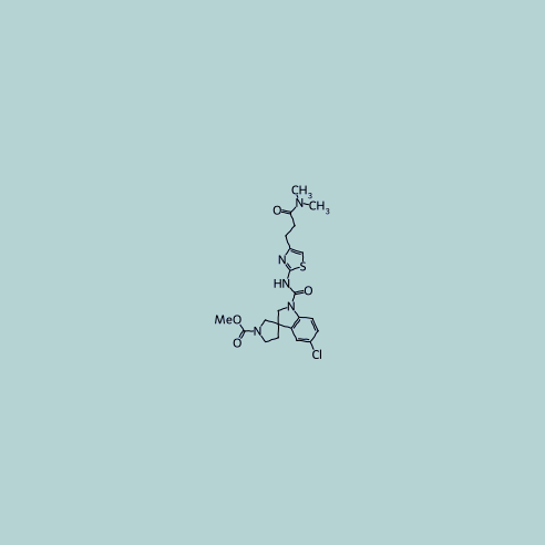 COC(=O)N1CCC2(C1)CN(C(=O)Nc1nc(CCC(=O)N(C)C)cs1)c1ccc(Cl)cc12